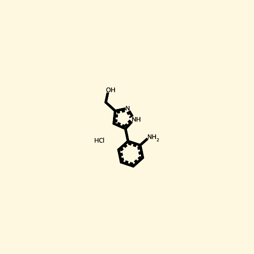 Cl.Nc1ccccc1-c1cc(CO)n[nH]1